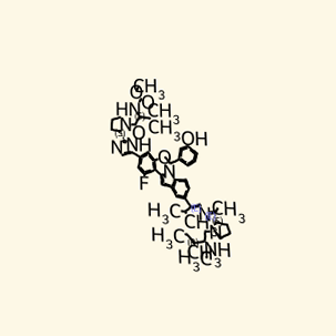 CC[C@@H](C)C(CN1CCC[C@H]1/C(C)=N/C=C(/c1ccc2c(c1)cc1n2C(c2cccc(O)c2)Oc2cc(-c3cnc([C@@H]4CCCN4C(=O)[C@@H](NC(=O)OC)C(C)C)[nH]3)cc(F)c2-1)C(C)C)NC